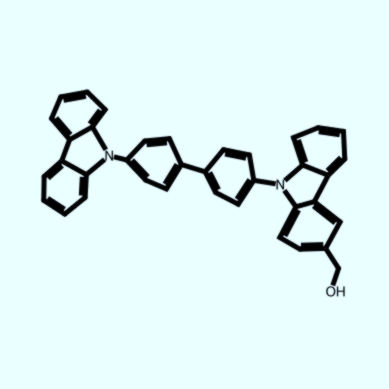 OCc1ccc2c(c1)c1ccccc1n2-c1ccc(-c2ccc(-n3c4ccccc4c4ccccc43)cc2)cc1